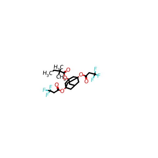 CCC(C)(C)C(=O)OC12CC3CC(OC(=O)CC(F)(F)F)(CC(OC(=O)CC(F)(F)F)(C3)C1)C2